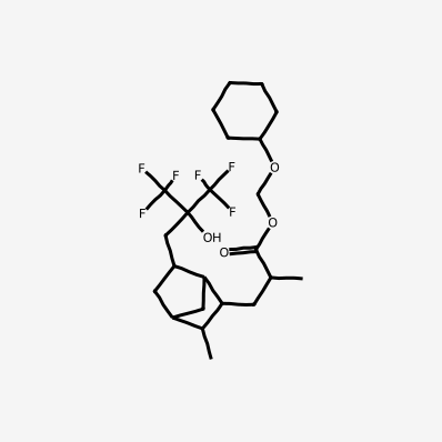 CC(CC1C(C)C2CC(CC(O)(C(F)(F)F)C(F)(F)F)C1C2)C(=O)OCOC1CCCCC1